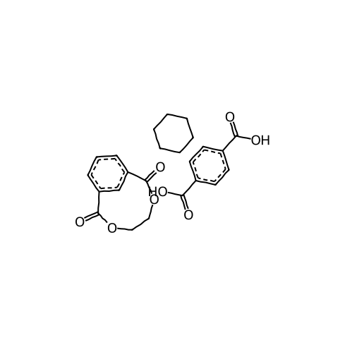 C1CCCCC1.O=C(O)c1ccc(C(=O)O)cc1.O=C1OCCOC(=O)c2cccc1c2